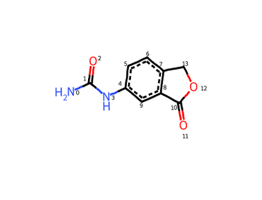 NC(=O)Nc1ccc2c(c1)C(=O)OC2